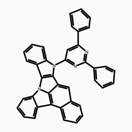 c1ccc(-c2cc(-n3c4ccccc4c4c3c3cc5ccccc5c5c6ccccc6n4c35)nc(-c3ccccc3)n2)cc1